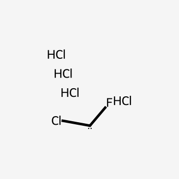 Cl.Cl.Cl.Cl.F[C]Cl